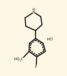 Cl.O=C(O)c1cc(C2CCNCC2)ccc1F